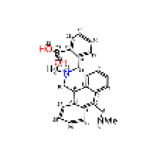 CNCc1c2ccccc2c(CN(C)Cc2ccccc2B(O)O)c2ccccc12